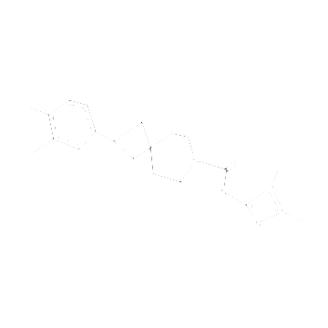 Cn1nc(NC(=O)N2CCC3(CC2)CC(c2ccc(F)c(Cl)c2)C3)n1C